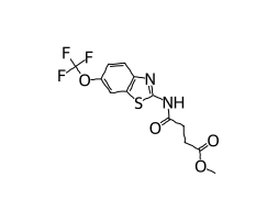 COC(=O)CCC(=O)Nc1nc2ccc(OC(F)(F)F)cc2s1